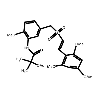 COc1cc(OC)c(/C=C/S(=O)(=O)Cc2ccc(OC)c(NC(=O)C(C)(C)OC(C)=O)c2)c(OC)c1